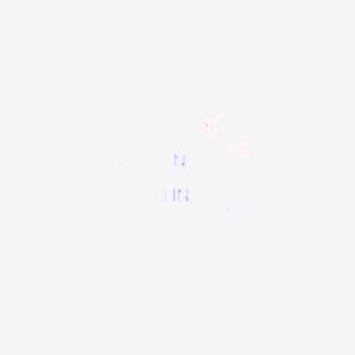 CCOC(=O)c1nc(-c2cccs2)[nH]c1/C=C\c1ccccc1